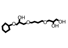 OCC(O)COCCCCOCC(O)COC1CCCCC1